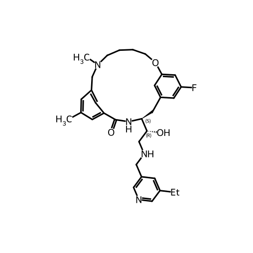 CCc1cncc(CNC[C@@H](O)[C@@H]2Cc3cc(F)cc(c3)OCCCCN(C)Cc3cc(C)cc(c3)C(=O)N2)c1